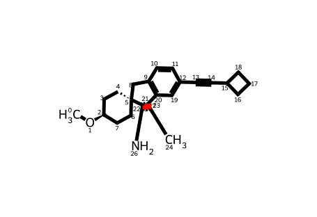 CO[C@H]1CC[C@]2(CC1)Cc1ccc(C#CC3CCC3)cc1[C@@]21N=C(C)C(N)=N1